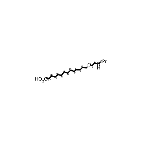 CCCNCCOCCCCCCCCCCCCCC(=O)O